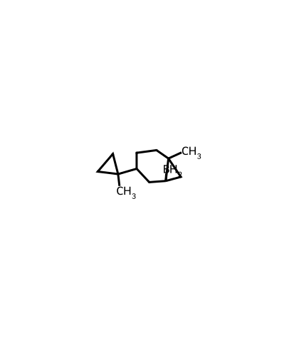 BC12CC(C3(C)CC3)CCC1(C)C2